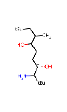 CC(CC(C)(C)C)C(O)CC[C@H](O)C(N)C(C)(C)C